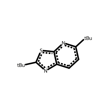 CC(C)(C)c1ccc2nc(C(C)(C)C)sc2n1